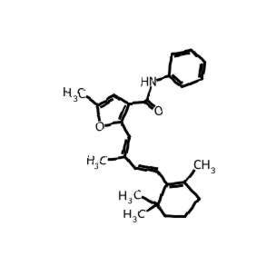 CC(C=CC1=C(C)CCCC1(C)C)=Cc1oc(C)cc1C(=O)Nc1ccccc1